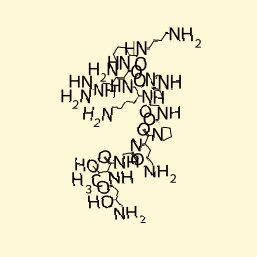 C[C@H](O)[C@H](NC(=O)C[C@@H](O)CN)C(=O)NCC(=O)/N=C(\CCCN)C(=O)N1CCC[C@H]1C(=O)N[C@@H](Cc1cnc[nH]1)C(=O)N[C@@H](CCCCN)C(=O)N/C(=C\CCNC(=N)N)C(=O)N[C@@H](CCCCN)C(=O)NCCCCN